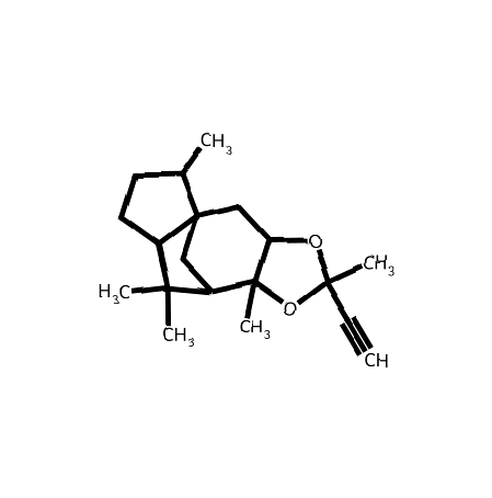 C#CC1(C)OC2CC34CC(C(C)(C)C3CCC4C)C2(C)O1